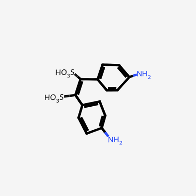 Nc1ccc(C(=C(c2ccc(N)cc2)S(=O)(=O)O)S(=O)(=O)O)cc1